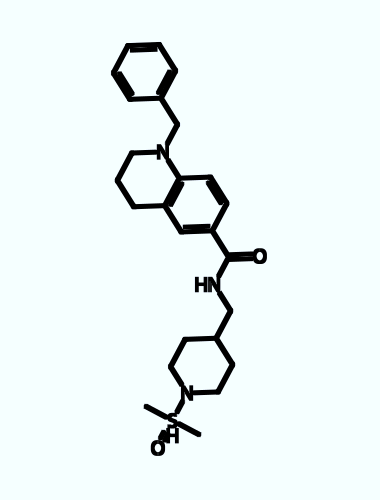 C[SH](C)(=O)N1CCC(CNC(=O)c2ccc3c(c2)CCCN3Cc2ccccc2)CC1